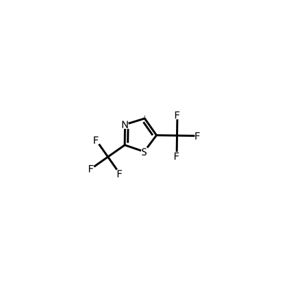 FC(F)(F)c1[c]nc(C(F)(F)F)s1